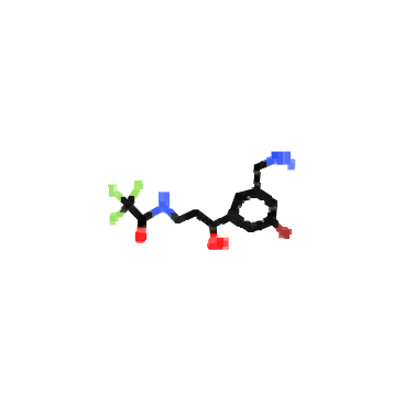 NCc1cc(Br)cc(C(O)CCNC(=O)C(F)(F)F)c1